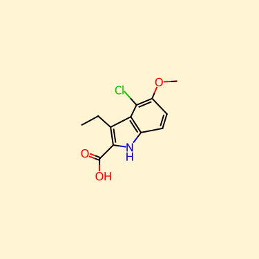 CCc1c(C(=O)O)[nH]c2ccc(OC)c(Cl)c12